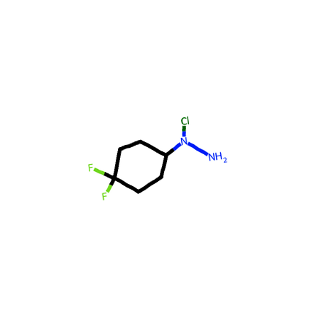 NN(Cl)C1CCC(F)(F)CC1